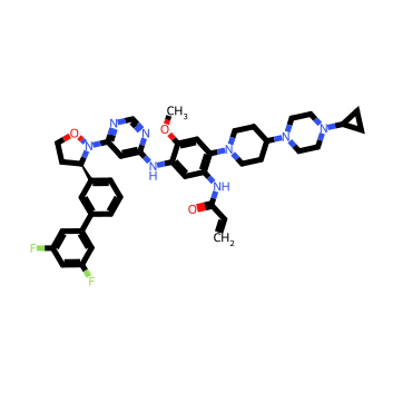 C=CC(=O)Nc1cc(Nc2cc(N3OCC[C@@H]3c3cccc(-c4cc(F)cc(F)c4)c3)ncn2)c(OC)cc1N1CCC(N2CCN(C3CC3)CC2)CC1